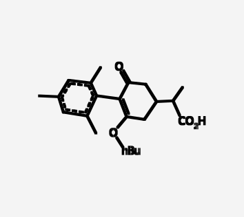 CCCCOC1=C(c2c(C)cc(C)cc2C)C(=O)CC(C(C)C(=O)O)C1